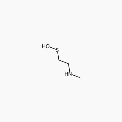 CNCCSO